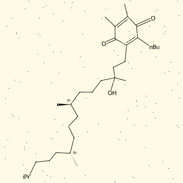 CCCCC1=C(CCC(C)(O)CCC[C@H](C)CCC[C@H](C)CCCC(C)C)C(=O)C(C)=C(C)C1=O